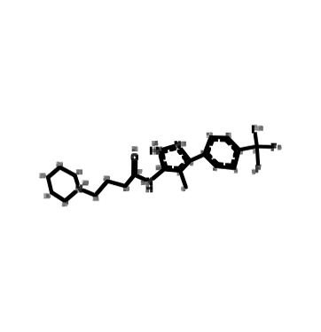 Cc1c(-c2ccc(C(F)(F)F)cc2)n[nH]c1NC(=O)CCCN1CCCCC1